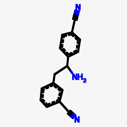 N#Cc1ccc(C(N)Cc2cccc(C#N)c2)cc1